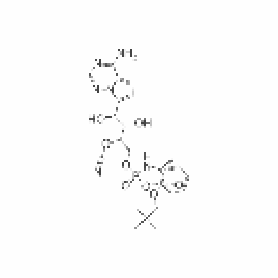 C[C@H](N[P@](=O)(OC[C@@H](OC#N)[C@@H](O)[C@@H](O)c1ccc2c(N)ncnn12)Oc1ccccc1)C(=O)OCC(C)(C)C